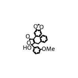 COc1cccc(C2(O)OC(=O)C(c3ccc4c(c3)OCO4)=C2Cc2ccccc2)c1